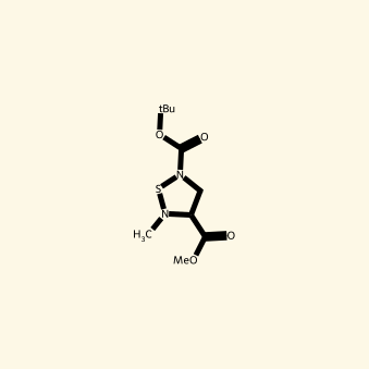 COC(=O)C1CN(C(=O)OC(C)(C)C)SN1C